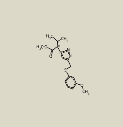 COC(=O)[C@@H](C(C)C)n1cc(CSc2cccc(OC)c2)nn1